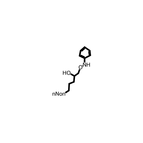 CCCCCCCCCCCCC(O)CONc1ccccc1